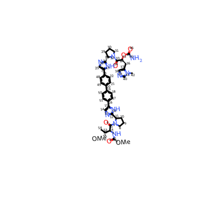 COC(=O)NC(C(=O)N1CCCC1c1ncc(-c2ccc(-c3ccc(-c4cnc([C@@H]5CCCN5C(=O)[C@H](Cc5cncn5C)OC(N)=O)[nH]4)cc3)cc2)[nH]1)[C@@H](C)OC